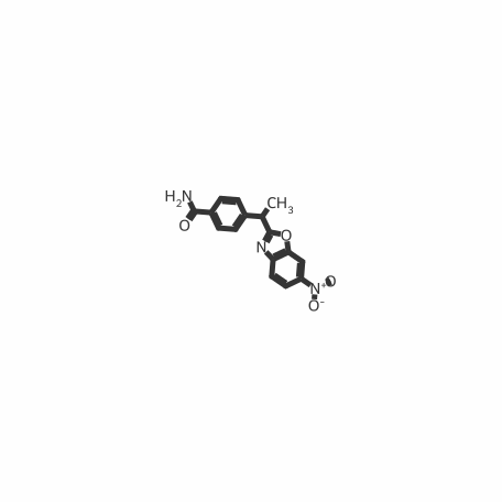 CC(c1ccc(C(N)=O)cc1)c1nc2ccc([N+](=O)[O-])cc2o1